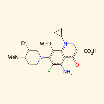 CCC1CN(c2c(F)c(N)c3c(=O)c(C(=O)O)cn(C4CC4)c3c2OC)CCC1NC